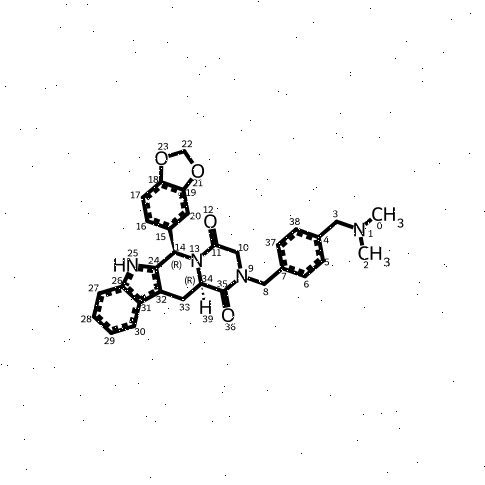 CN(C)Cc1ccc(CN2CC(=O)N3[C@H](c4ccc5c(c4)OCO5)c4[nH]c5ccccc5c4C[C@@H]3C2=O)cc1